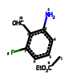 CCOC(C)=O.Nc1cccc(F)c1C=O